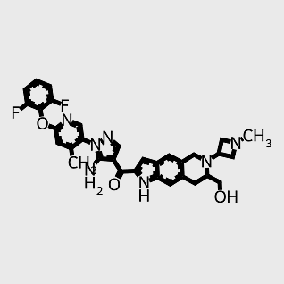 Cc1cc(Oc2c(F)cccc2F)ncc1-n1ncc(C(=O)c2cc3cc4c(cc3[nH]2)CC(CO)N(C2CN(C)C2)C4)c1N